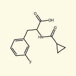 O=C(NC(Cc1cccc(F)c1)C(=O)O)C1CC1